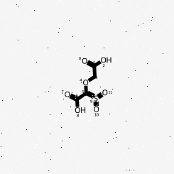 O=C(O)COC(C(=O)O)=S(=O)=O